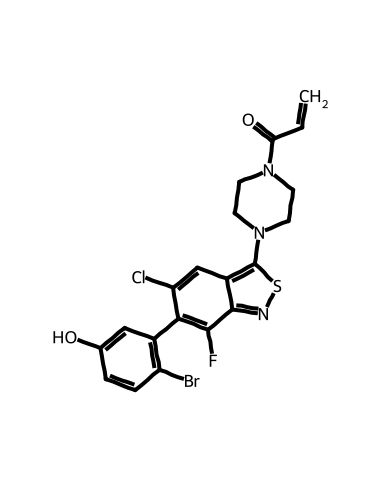 C=CC(=O)N1CCN(c2snc3c(F)c(-c4cc(O)ccc4Br)c(Cl)cc23)CC1